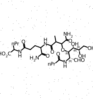 CCCC(=O)N[C@@H](C=O)[C@@H](OC(C(N)=O)C(C)C(=O)NC(CCC(=O)NC(CCC)C(=O)O)C(N)=O)[C@H](O)[C@H](O)CO